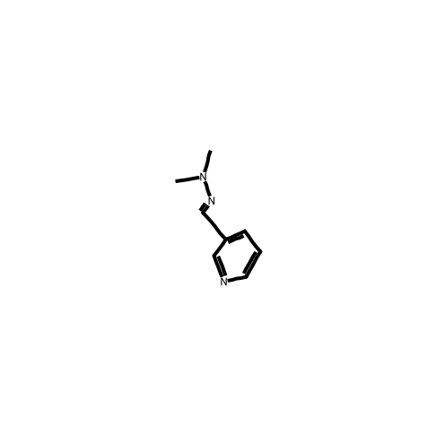 CN(C)/N=C/c1cccnc1